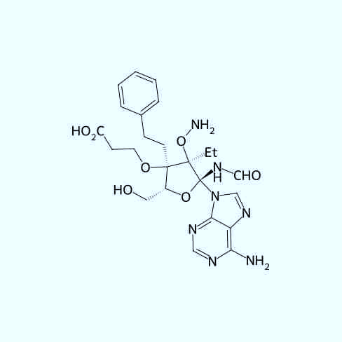 CC[C@]1(ON)[C@](NC=O)(n2cnc3c(N)ncnc32)O[C@H](CO)[C@@]1(CCc1ccccc1)OCCC(=O)O